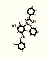 Cc1ccccc1N=Nc1ccc(C)c(N2N=C(c3ccccc3)NN2c2ccccc2)c1.Cl